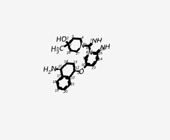 CC1(O)CCN(C(=N)n2cc(O[C@@H]3CC[C@H](N)c4ccccc43)ccc2=N)CC1